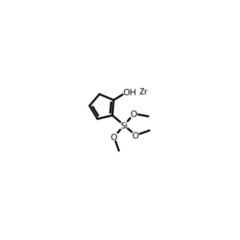 CO[Si](OC)(OC)C1=C(O)CC=C1.[Zr]